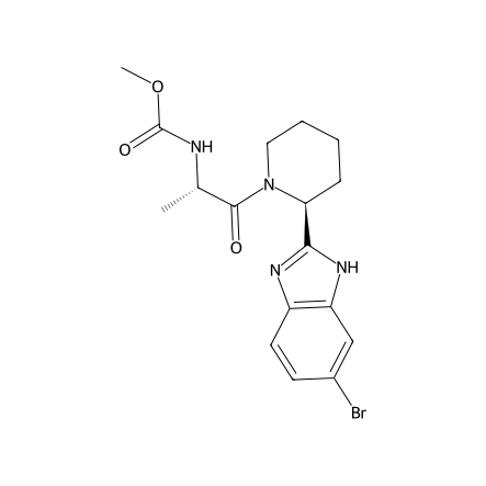 COC(=O)N[C@@H](C)C(=O)N1CCCC[C@H]1c1nc2ccc(Br)cc2[nH]1